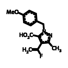 C=C(F)c1c(C)nn(Cc2ccc(OC)cc2)c1C(=O)O